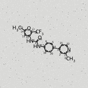 Cc1cc(-c2ccc(NC(=O)Nc3cc(C)oc3C(F)(F)F)cc2)ccn1